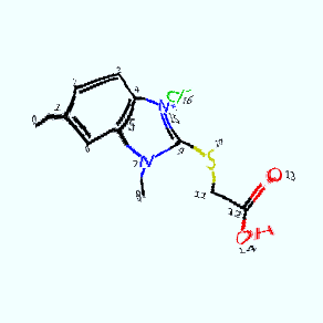 Cc1ccc2c(c1)N(C)C(SCC(=O)O)=[N+]2.[Cl-]